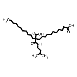 CCCCCCCCCCCC(CCCCCCCCCCC(=O)O)(C(=O)O)C(=O)NCCC(C)C